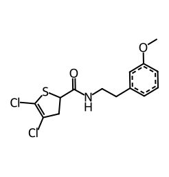 COc1cccc(CCNC(=O)C2CC(Cl)=C(Cl)S2)c1